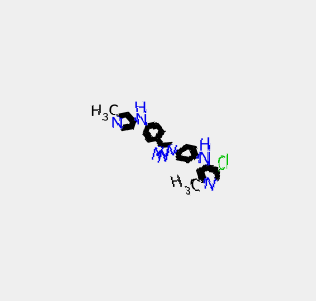 Cc1cc(Nc2ccc(-c3cn(-c4ccc(Nc5cc(C)ncc5Cl)cc4)nn3)cc2)ccn1